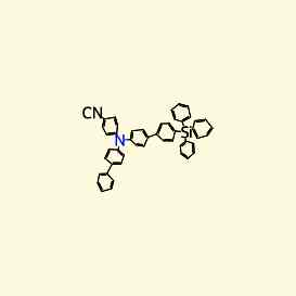 [C-]#[N+]c1ccc(N(c2ccc(-c3ccccc3)cc2)c2ccc(-c3ccc([Si](c4ccccc4)(c4ccccc4)c4ccccc4)cc3)cc2)cc1